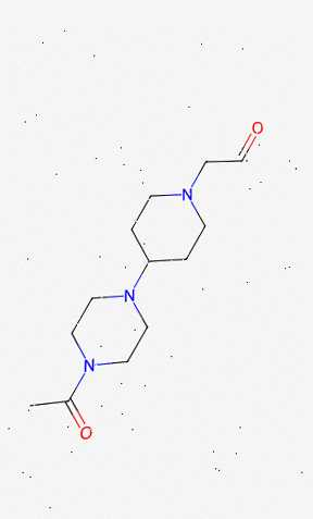 CC(=O)N1CCN(C2CCN(C[C]=O)CC2)CC1